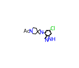 CC(=O)N1CCC2(CC1)CN(c1cc(Cl)cc3[nH]ncc13)C2